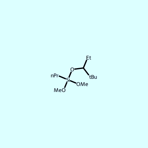 CCC[Si](OC)(OC)OC(CC)C(C)(C)C